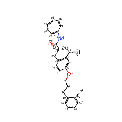 CCC(CC)c1cc(OCCCc2ccccc2C)ccc1CCC(=O)NC1=CCC=CC=C1